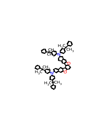 CC(C)(c1ccccc1)c1ccc(N(c2ccc(C(C)(C)c3ccccc3)cc2)c2ccc3cc4c(cc3c2)oc2ccc3oc5cc6cc(N(c7ccc(C(C)(C)c8ccccc8)cc7)c7ccc(C(C)(C)c8ccccc8)cc7)ccc6cc5c3c24)cc1